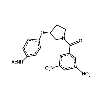 CC(=O)Nc1ccc(O[C@H]2CCN(C(=O)c3cc([N+](=O)[O-])cc([N+](=O)[O-])c3)C2)cc1